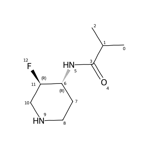 CC(C)C(=O)N[C@@H]1CCNC[C@H]1F